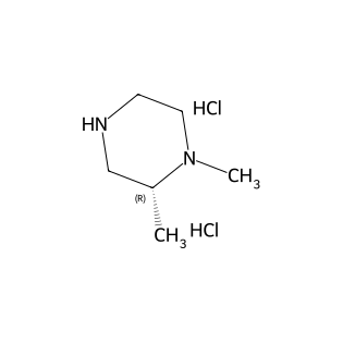 C[C@@H]1CNCCN1C.Cl.Cl